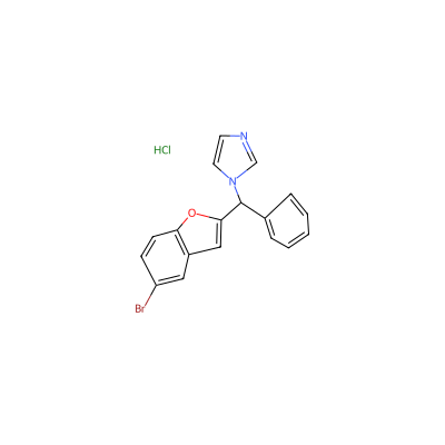 Brc1ccc2oc(C(c3ccccc3)n3ccnc3)cc2c1.Cl